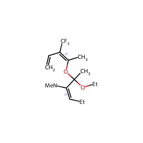 C=C/C(=C(/C)OC(C)(OCC)/C(=C\CC)NC)C(F)(F)F